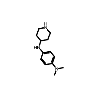 CN(C)c1ccc(NC2CCNCC2)cc1